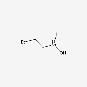 CCC[CH2][SnH]([OH])[I]